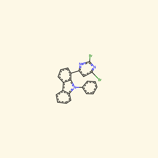 Brc1cc(-c2cccc3c4ccccc4n(-c4ccccc4)c23)nc(Br)n1